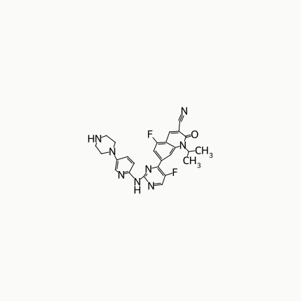 CC(C)n1c(=O)c(C#N)cc2c(F)cc(-c3nc(Nc4ccc(N5CCNCC5)cn4)ncc3F)cc21